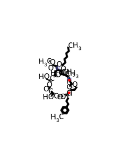 CCCCCCCC(=O)O[C@H]1/C(=C/C(=O)OC)C[C@H]2C[C@H](CO)OC(=O)C[C@H](O)CCO[C@H](CCCc3ccc(C)cc3)C[C@@H]3CCO[C@H](/C=C/C(C)(C)[C@]1(O)O2)O3